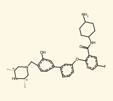 C[C@@H]1CN(Cc2ccc(-c3cccc(Oc4ncc(F)cc4C(=O)NC4CCC(N)CC4)c3)cc2O)C[C@H](C)N1